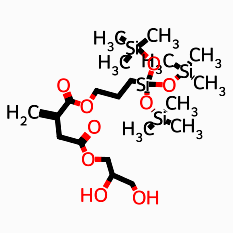 C=C(CC(=O)OCC(O)CO)C(=O)OCCC[Si](O[Si](C)(C)C)(O[Si](C)(C)C)O[Si](C)(C)C